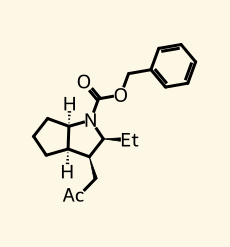 CC[C@H]1[C@@H](CC(C)=O)[C@H]2CCC[C@H]2N1C(=O)OCc1ccccc1